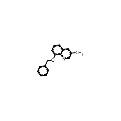 Cc1cnc2c(OCc3ccccc3)cccc2c1